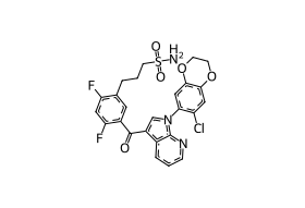 NS(=O)(=O)CCCc1cc(C(=O)c2cn(-c3cc4c(cc3Cl)OCCO4)c3ncccc23)c(F)cc1F